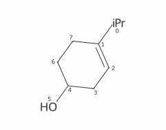 CC(C)C1=CCC(O)CC1